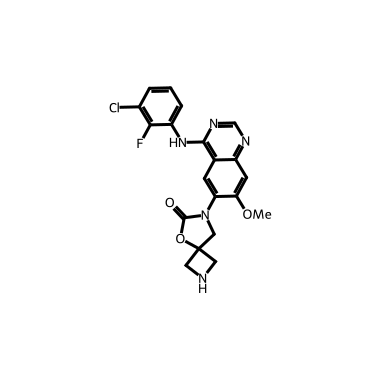 COc1cc2ncnc(Nc3cccc(Cl)c3F)c2cc1N1CC2(CNC2)OC1=O